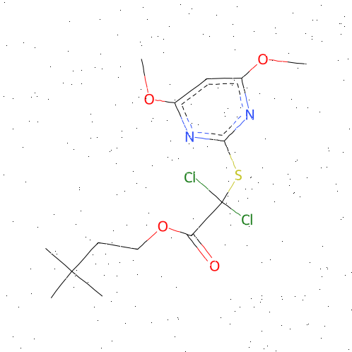 COc1cc(OC)nc(SC(Cl)(Cl)C(=O)OCCC(C)(C)C)n1